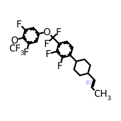 C/C=C/C1CCC(c2ccc(C(F)(F)Oc3cc(F)c(OC(F)(F)F)c(F)c3)c(F)c2F)CC1